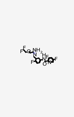 N/C(COCC(F)F)=N/CC1CC(NC(=O)c2ncc(F)cc2F)=CC=C1F